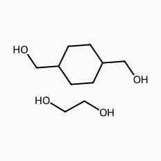 OCC1CCC(CO)CC1.OCCO